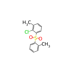 Cc1ccccc1S(=O)(=O)c1cccc(C)c1Cl